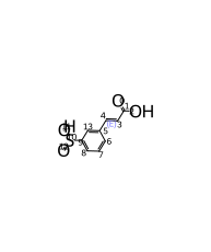 O=C(O)/C=C/c1cccc([SH](=O)=O)c1